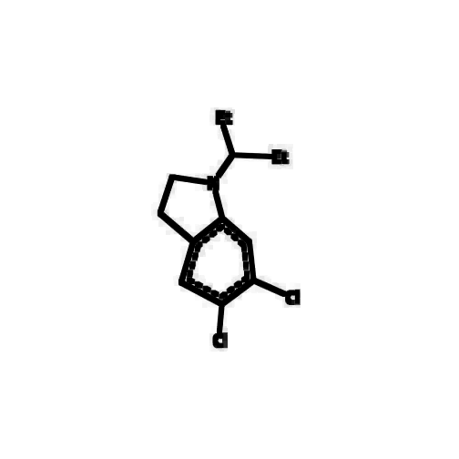 CCC(CC)N1CCc2cc(Cl)c(Cl)cc21